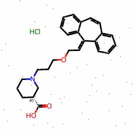 Cl.O=C(O)[C@@H]1CCCN(CCCOCC=C2c3ccccc3C=Cc3ccccc32)C1